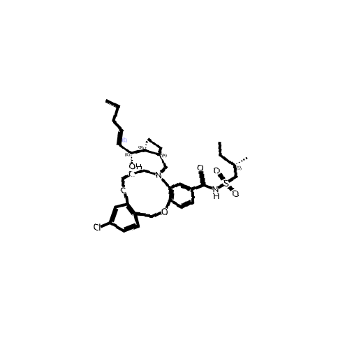 CCC/C=C/[C@@H](O)[C@@H]1CC[C@H]1CN1CCCCc2cc(Cl)ccc2COc2ccc(C(=O)NS(=O)(=O)C[C@@H](C)CC)cc21